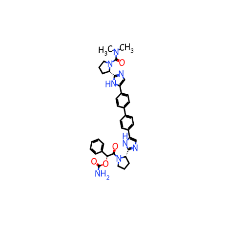 CN(C)C(=O)N1CCC[C@H]1c1ncc(-c2ccc(-c3ccc(-c4cnc([C@@H]5CCCN5C(=O)[C@H](OC(N)=O)c5ccccc5)[nH]4)cc3)cc2)[nH]1